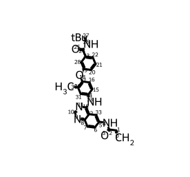 C=CC(=O)Nc1ccc2ncnc(Nc3ccc(Oc4cccc(C(=O)NC(C)(C)C)c4)c(C)c3)c2c1